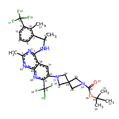 Cc1nc(NC(C)c2cccc(C(F)(F)F)c2C)c2cc(N3CC4(CN(C(=O)OC(C)(C)C)C4)C3)c(C(F)(F)F)nc2n1